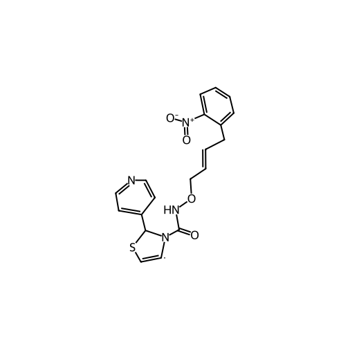 O=C(NOCC=CCc1ccccc1[N+](=O)[O-])N1[C]=CSC1c1ccncc1